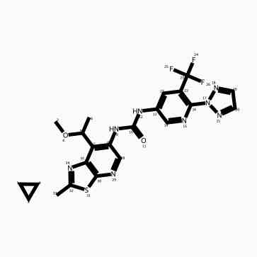 C1CC1.COC(C)c1c(NC(=O)Nc2cnc(-n3nccn3)c(C(F)(F)F)c2)cnc2sc(C)nc12